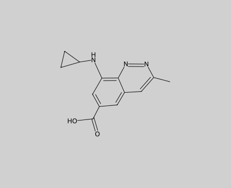 Cc1cc2cc(C(=O)O)cc(NC3CC3)c2nn1